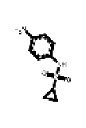 Nc1ccc(NS(=O)(=O)C2CC2)cc1